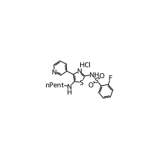 CCCCCNc1sc(NS(=O)(=O)c2ccccc2F)nc1-c1cccnc1.Cl